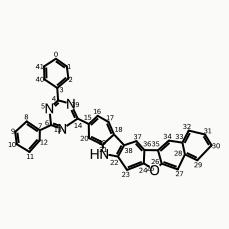 c1ccc(-c2nc(-c3ccccc3)nc(-c3ccc4c(c3)[nH]c3cc5oc6cc7ccccc7cc6c5cc34)n2)cc1